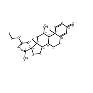 CCOC(=O)O[C@@]1(C(=O)O)CCC2C3CCC4=CC(=O)C=CC4(C)C3C(O)CC21C